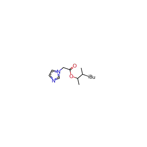 CCC(C)C(C)C(C)OC(=O)Cn1ccnc1